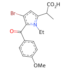 CCn1c(C(C)C(=O)O)cc(Br)c1C(=O)c1ccc(OC)cc1